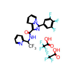 O=C(NC(c1ccccn1)C(F)(F)F)c1nc(-c2cc(F)c(F)c(F)c2)n2ccccc12.O=C(O)C(F)(F)F.O=C(O)C(F)(F)F